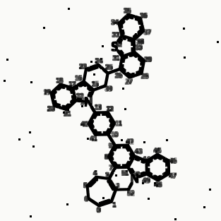 C1=CC2=C(C=CC1)c1cc(-c3ccc(-n4c5c(c6ccccc64)C=CC(c4cccc6c4sc4ccccc46)C5)cc3)cc3c4ccccc4n(c13)C2